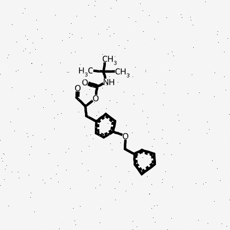 CC(C)(C)NC(=O)OC(C=O)Cc1ccc(OCc2ccccc2)cc1